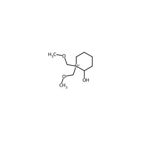 COC[N+]1(COC)CCCCC1O